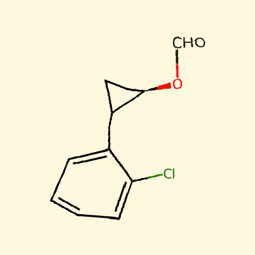 O=CO[C@@H]1CC1c1ccccc1Cl